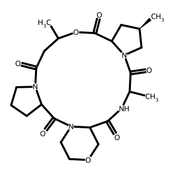 CC1CC(=O)N2CCCC2C(=O)N2CCOCC2C(=O)NC(C)C(=O)N2C[C@H](C)CC2C(=O)O1